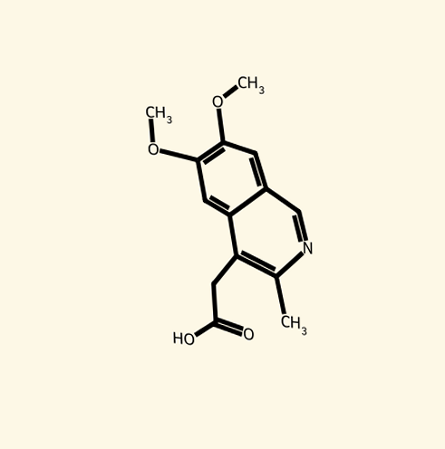 COc1cc2cnc(C)c(CC(=O)O)c2cc1OC